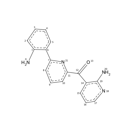 Nc1ccccc1-c1cccc(C(=O)c2cccnc2N)n1